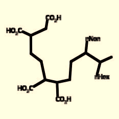 CCCCCCCCCC(CCC(C(=O)O)C(CCC(CC(=O)O)C(=O)O)C(=O)O)C(C)CCCCCC